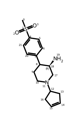 CS(=O)(=O)c1ccc(C2CCN(C3CC=CC3)C[C@@H]2N)cc1